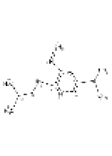 C=Nc1cc(C(C)C)cnc1NCC(C)C